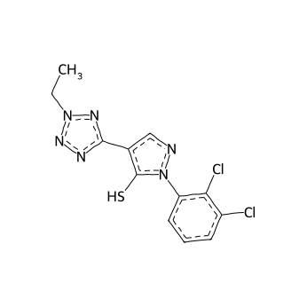 CCn1nnc(-c2cnn(-c3cccc(Cl)c3Cl)c2S)n1